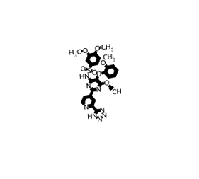 C#COc1nc(-c2ccnc(-c3nnn[nH]3)c2)nc(NS(=O)(=O)c2ccc(OC)c(OC)c2)c1Oc1ccccc1OC